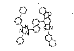 c1ccc(-c2cccc(-c3nc(-c4ccccc4)nc(-c4cccc5c(-c6c7sc(-c8ccc9ccccc9c8)nc7cc7oc8ccccc8c67)cccc45)n3)c2)cc1